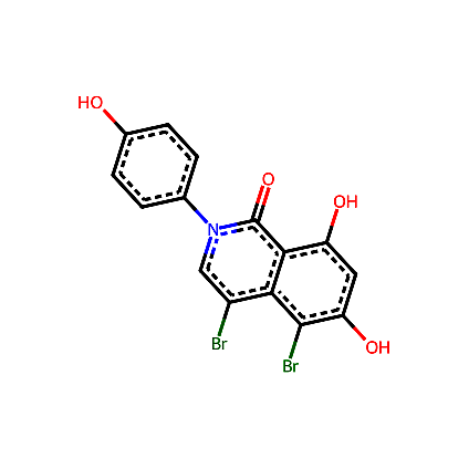 O=c1c2c(O)cc(O)c(Br)c2c(Br)cn1-c1ccc(O)cc1